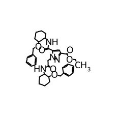 CCOC(=O)c1cc(C(=O)NC2CCCCC2OCc2ccccc2)n(CC(=O)NC2CCCCC2OCc2ccccc2)n1